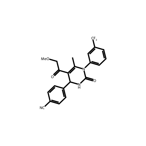 COCC(=O)C1=C(C)N(c2cccc(C(F)(F)F)c2)C(=O)NC1c1ccc(C#N)cc1